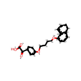 O=C(O)C(=O)c1ccc(OCCCCOc2cccc3ccccc23)cc1